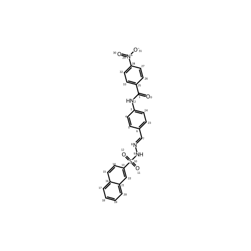 O=C(Nc1ccc(C=NNS(=O)(=O)c2ccc3ccccc3c2)cc1)c1ccc([N+](=O)[O-])cc1